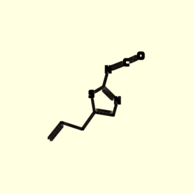 C=CCc1cnc(N=C=O)s1